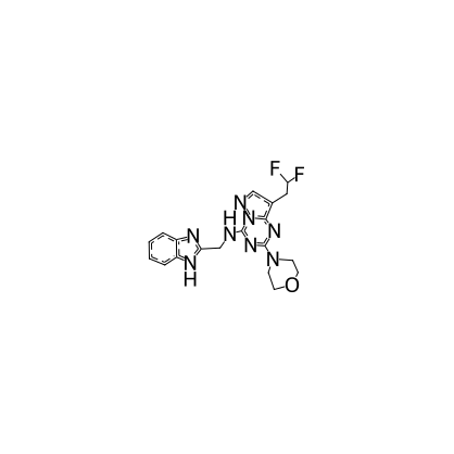 FC(F)Cc1cnn2c(NCc3nc4ccccc4[nH]3)nc(N3CCOCC3)nc12